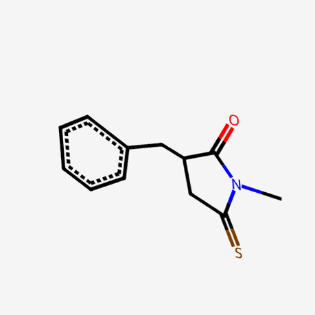 CN1C(=O)C(Cc2ccccc2)CC1=S